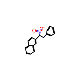 O=[N+]([O-])C(Cc1ccccc1)c1ccc2ccccc2c1